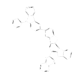 C1=CC2=Nc3c(n4c5ccccc5c5c6sc7ccc(-c8ccc9c(c8)c8ccccc8n9-c8ccccc8)cc7c6cc3c54)NC2C=C1